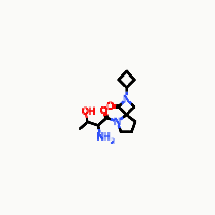 CC(O)C(N)C(=O)N1CCCC12CN(C1CCC1)C2=O